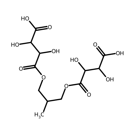 CC(COC(=O)C(O)C(O)C(=O)O)COC(=O)C(O)C(O)C(=O)O